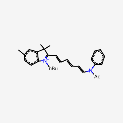 CCCC[N+]1=C(/C=C/C=C/C=C/N(C(C)=O)c2ccccc2)C(C)(C)c2cc(C)ccc21